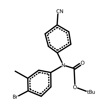 Cc1cc(N(C(=O)OC(C)(C)C)c2ccc(C#N)cc2)ccc1Br